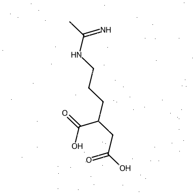 CC(=N)NCCCC(CC(=O)O)C(=O)O